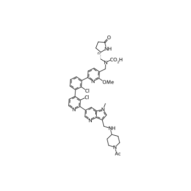 COc1nc(-c2cccc(-c3ccnc(-c4cnc5c(CNC6CCN(C(C)=O)CC6)cn(C)c5c4)c3Cl)c2Cl)ccc1CN(C[C@@H]1CCC(=O)N1)C(=O)O